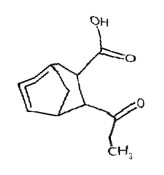 CC(=O)C1C2C=C=C(C2)C1C(=O)O